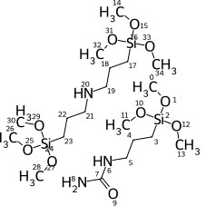 CO[Si](CCCNC(N)=O)(OC)OC.CO[Si](CCCNCCC[Si](OC)(OC)OC)(OC)OC